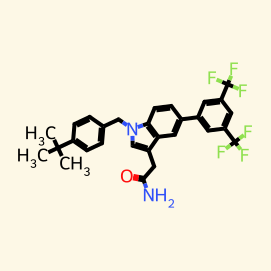 CC(C)(C)c1ccc(Cn2cc(CC(N)=O)c3cc(-c4cc(C(F)(F)F)cc(C(F)(F)F)c4)ccc32)cc1